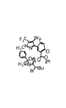 CC(C)(NC(=O)C(Br)C(C)(C)C)c1ccccc1.CC(C)OC(=O)c1cc(-c2nn(C)c(C(F)(F)F)c2Br)c(F)cc1Cl